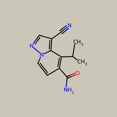 CC(C)c1c(C(N)=O)ccn2ncc(C#N)c12